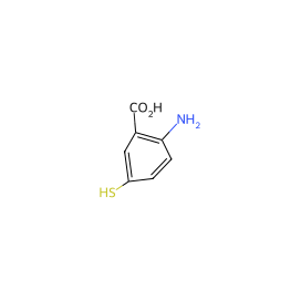 Nc1ccc(S)cc1C(=O)O